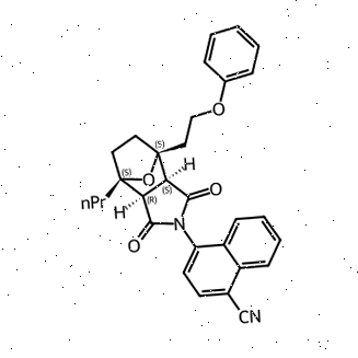 CCC[C@@]12CC[C@@](CCOc3ccccc3)(O1)[C@H]1C(=O)N(c3ccc(C#N)c4ccccc34)C(=O)[C@H]12